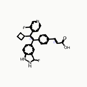 O=C(O)/C=C/c1ccc(/C(=C(\c2ccncc2F)C2CCC2)c2ccc3c(c2)C(F)NN3)cc1